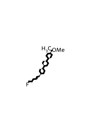 COC(C)[C@H]1CC[C@H]([C@H]2CC[C@H]([C@H]3CC[C@H](CC=CCCCF)CC3)CC2)CC1